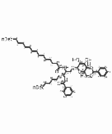 CCCCCCCCCCCCCCCCCCCCCCCC(=O)N[C@@H](CO[C@@H]1O[C@@H]2COC(c3ccccc3)O[C@@H]2[C@H](O)[C@H]1O)[C@@H](CCCCCCCCCCCCCCC)OC(=O)c1ccccc1